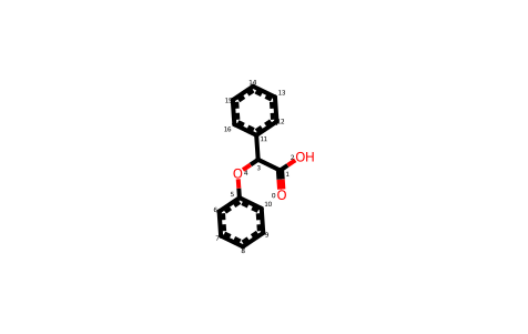 O=C(O)C(Oc1ccccc1)c1[c]cccc1